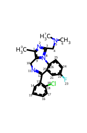 Cc1nc(CN(C)C)n2c1CN=C(c1ccccc1Cl)c1cc(F)ccc1-2